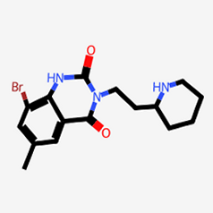 Cc1cc(Br)c2[nH]c(=O)n(CCC3CCCCN3)c(=O)c2c1